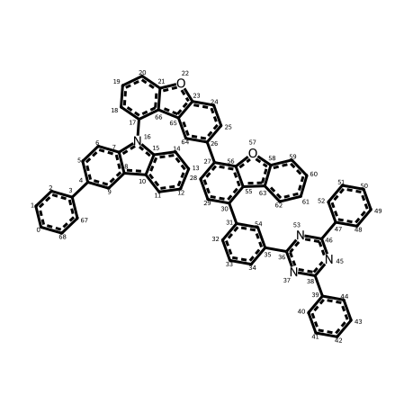 c1ccc(-c2ccc3c(c2)c2ccccc2n3-c2cccc3oc4ccc(-c5ccc(-c6cccc(-c7nc(-c8ccccc8)nc(-c8ccccc8)n7)c6)c6c5oc5ccccc56)cc4c23)cc1